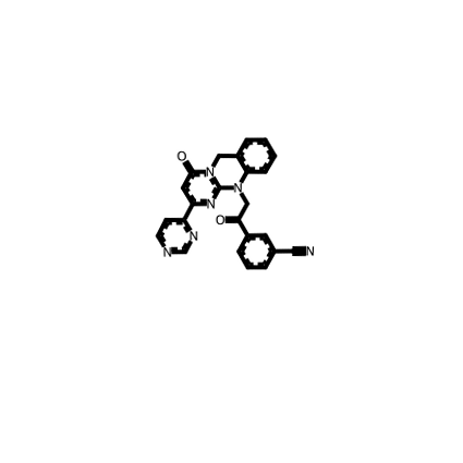 N#Cc1cccc(C(=O)CN2c3ccccc3Cn3c2nc(-c2ccncn2)cc3=O)c1